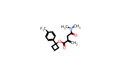 C=C(CC(=O)N(C)C)C(=O)OC1(c2ccc(C(F)(F)F)cc2)CCC1